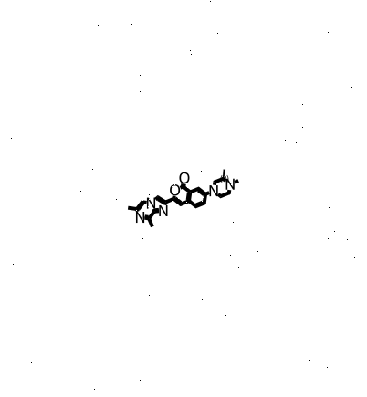 Cc1cn2cc(-c3cc4ccc(N5CCN(C)[C@H](C)C5)cc4c(=O)o3)nc2c(C)n1